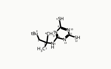 CC(C)(C)CC(C)(C)Nc1nc(S)nc(S)n1